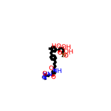 Cc1ccc([C@@H]2O[C@H]([S@+](C)[O-])[C@@H](O)[C@H](O)[C@H]2O)cc1Cc1ccc(CCCC(=O)NC(C)(C)C(=O)NCC(=O)N(C)C)cc1